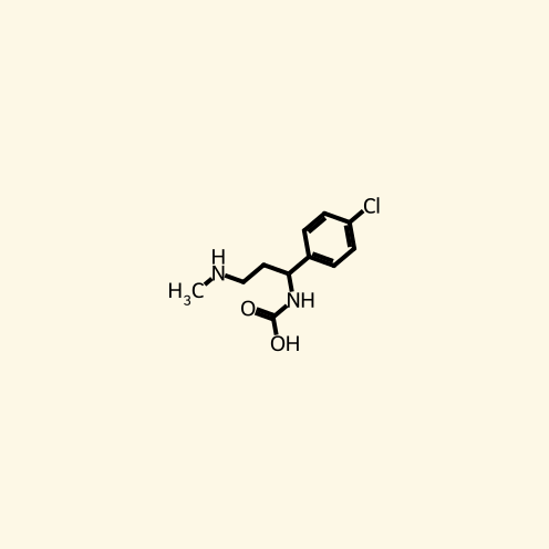 CNCCC(NC(=O)O)c1ccc(Cl)cc1